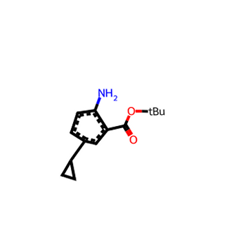 CC(C)(C)OC(=O)c1cc(C2CC2)ccc1N